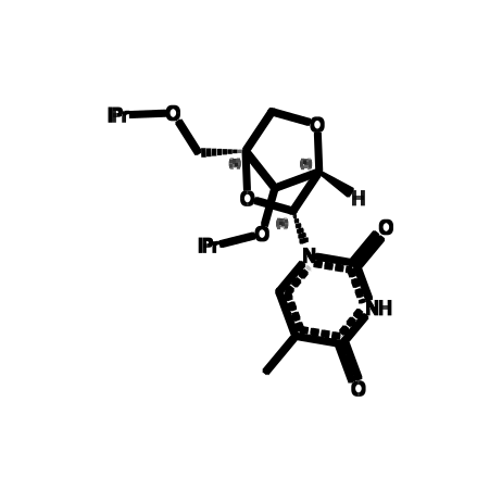 Cc1cn([C@@H]2O[C@@]3(COC(C)C)CO[C@H]2C3OC(C)C)c(=O)[nH]c1=O